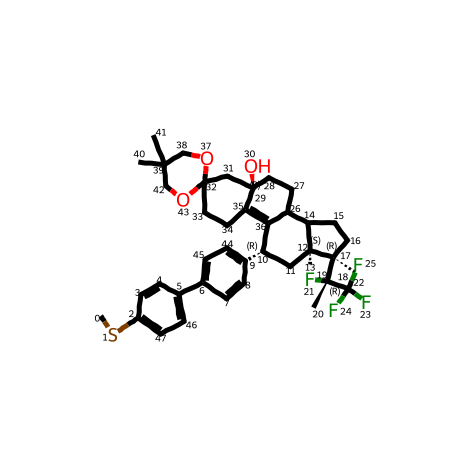 CSc1ccc(-c2ccc([C@H]3C[C@@]4(C)C(CC[C@@]4(C)[C@@](C)(F)C(F)(F)F)C4CC[C@@]5(O)CC6(CCC5=C43)OCC(C)(C)CO6)cc2)cc1